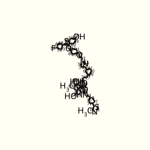 Cc1ncsc1-c1ccc(CNC(=O)[C@@H]2C[C@@H](O)CN2C(=O)[C@@H](NC(=O)CCc2cccc(-c3ccn(CCOc4ccc(Oc5c(-c6ccc(F)cc6)sc6cc(O)ccc56)cc4)n3)c2)C(C)(C)C)cc1